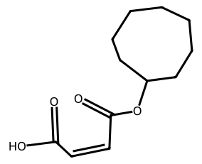 O=C(O)/C=C\C(=O)OC1CCCCCCC1